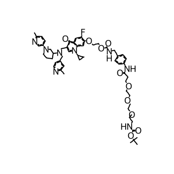 Cc1ccc(N2CCCC(N(Cc3ccnc(C)c3)Cc3cn(C4CC4)c4cc(OCCOC(=O)NCc5ccc(NC(=O)CCOCCOCCOCCNC(=O)OC(C)(C)C)cc5)c(F)cc4c3=O)C2)cn1